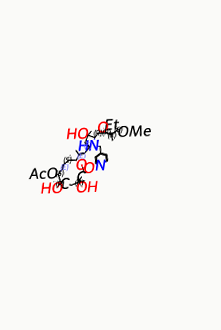 CC[C@H](OC)[C@@H](C)[C@H]1O[C@@H]1C(NCc1ccncc1)C(C)(O)/C=C/C=C(\C)C1OC(=O)C[C@H](O)CC[C@@](C)(O)[C@@H](OC(C)=O)/C=C/[C@@H]1C